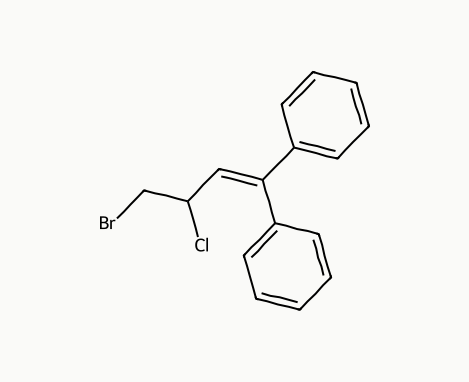 ClC(C=C(c1ccccc1)c1ccccc1)CBr